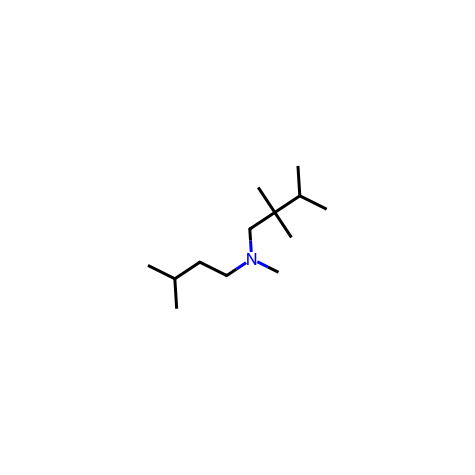 CC(C)CCN(C)CC(C)(C)C(C)C